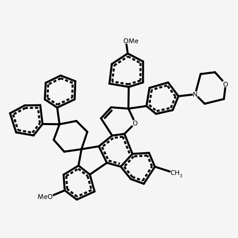 COc1ccc(C2(c3ccc(N4CCOCC4)cc3)C=Cc3c4c(c5ccc(C)cc5c3O2)-c2ccc(OC)cc2C42CCC(c3ccccc3)(c3ccccc3)CC2)cc1